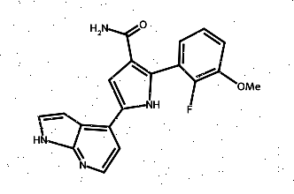 COc1cccc(-c2[nH]c(-c3ccnc4[nH]ccc34)cc2C(N)=O)c1F